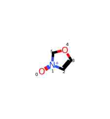 O=[N+]1C=COC1